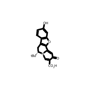 CC(C)(C)[C@@H]1Cc2c(oc3cc(O)ccc23)-c2cc(=O)c(C(=O)O)cn21